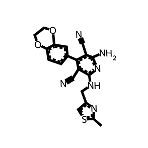 Cc1nc(CNc2nc(N)c(C#N)c(-c3ccc4c(c3)OCCO4)c2C#N)cs1